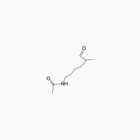 CC(=O)NCCCCC(C)C=O